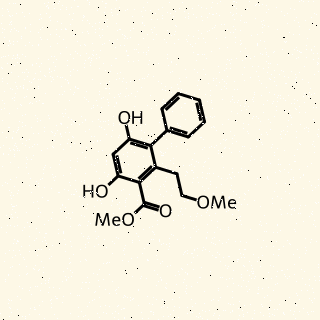 COCCc1c(C(=O)OC)c(O)cc(O)c1-c1ccccc1